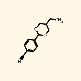 CCC1COC(c2ccc(C#N)cc2)OC1